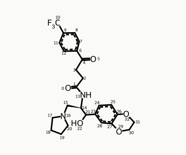 O=C(CCC(=O)c1ccc(C(F)(F)F)cc1)N[C@H](CN1CCCC1)C(O)c1ccc2c(c1)OCCO2